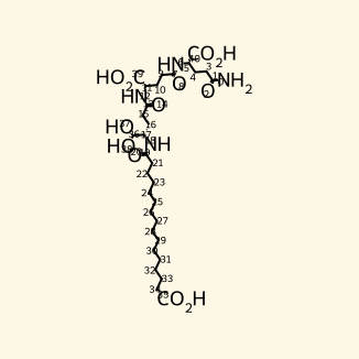 NC(=O)CC[C@H](NC(=O)CC[C@H](NC(=O)CC[C@H](NC(=O)CCCCCCCCCCCCCCC(=O)O)C(O)O)C(=O)O)C(=O)O